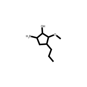 BC1CC(CCC)C(OC)C1O